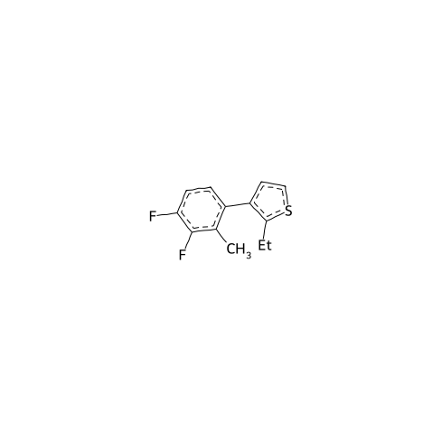 CCc1sccc1-c1ccc(F)c(F)c1C